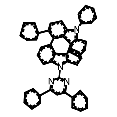 c1ccc(-c2cc(-c3ccccc3)nc(-n3c4ccccc4c4c(-c5c(-c6ccccc6)ccc6c5c5ccccc5n6-c5ccccc5)cccc43)n2)cc1